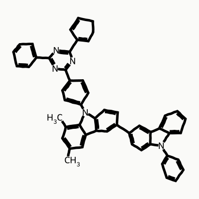 Cc1cc(C)c2c(c1)c1cc(-c3ccc4c(c3)c3ccccc3n4-c3ccccc3)ccc1n2-c1ccc(-c2nc(C3=CCCC=C3)nc(-c3ccccc3)n2)cc1